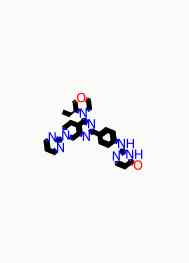 CC[C@H]1COCCN1c1nc(-c2ccc(Nc3nccc(=O)[nH]3)cc2)nc2c1CCN(c1ncccn1)C2